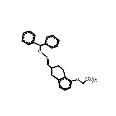 CCOC(=O)COc1cccc2c1CCC(C=NOC(c1ccccc1)c1ccccc1)C2